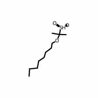 CCCCCCCCOC(C)(C)[SH](=O)=O